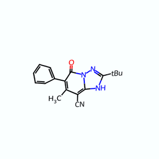 Cc1c(-c2ccccc2)c(=O)n2nc(C(C)(C)C)[nH]c2c1C#N